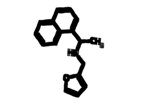 CC(NCc1ccco1)c1cccc2ccccc12